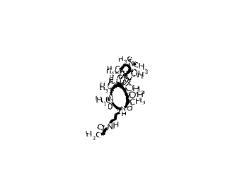 C=CC(=O)NCCCC[C@H]1CC(=O)N(C)C[C@H](C)CC(C)(O)[C@H](OC2O[C@H](C)C[C@H](N(C)C)[C@H]2O)[C@@H](C)[C@H](O)C(C)C(=O)N1